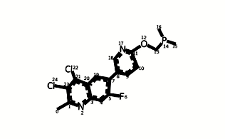 Cc1nc2cc(F)c(-c3ccc(OCP(C)C)nc3)cc2c(Cl)c1Cl